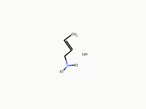 [CH2]C=CCN(CC)CC.[LiH]